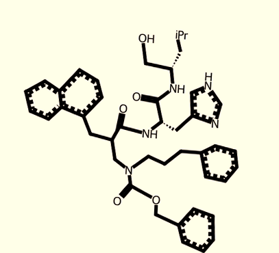 CC(C)C[C@@H](CO)NC(=O)[C@H](Cc1c[nH]cn1)NC(=O)C(Cc1cccc2ccccc12)CN(CCCc1ccccc1)C(=O)OCc1ccccc1